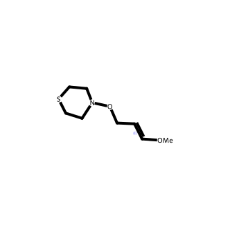 CO/C=C/CON1CCSCC1